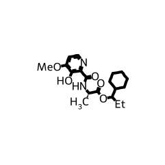 CCC(OC(=O)[C@H](C)NC(=O)c1nccc(OC)c1O)C1CCCCC1